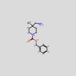 CC(C)C1(CN)CCN(C(=O)OCc2ccccc2)CC1